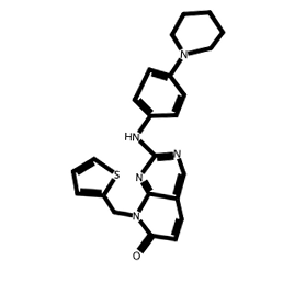 O=c1ccc2cnc(Nc3ccc(N4CCCCC4)cc3)nc2n1Cc1cccs1